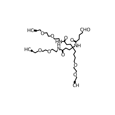 C#CCOCCOCCCCC(CCC(=O)NCCOCCOCC#C)(CCC(=O)NCCOCCOCC#C)NC(=O)CCCC=O